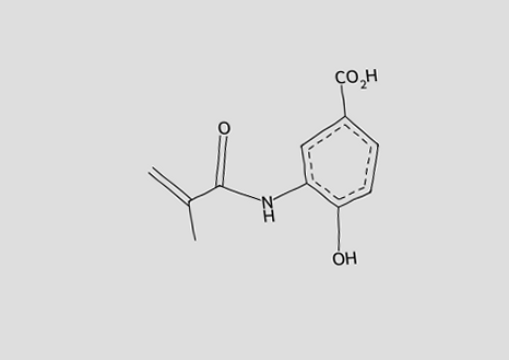 C=C(C)C(=O)Nc1cc(C(=O)O)ccc1O